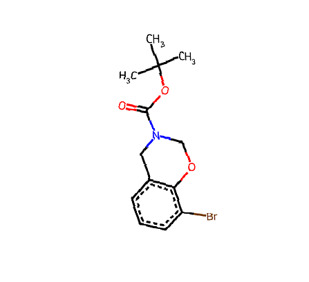 CC(C)(C)OC(=O)N1COc2c(Br)cccc2C1